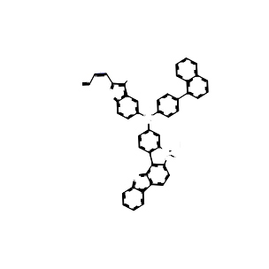 C=C/C=C\c1oc2ccc(N(c3ccc(-c4cccc5ccccc45)cc3)c3ccc4c(c3)[Si](C)(C)c3ccc5c(sc6ccccc65)c3-4)cc2c1C